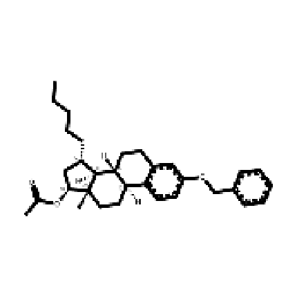 CCCCC[C@H]1C[C@H](OC(C)=O)[C@@]2(C)CC[C@@H]3c4ccc(OCc5ccccc5)cc4CC[C@H]3[C@H]12